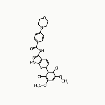 COc1cc(OC)c(Cl)c(-c2ccc3c(NC(=O)c4ccc(N5CCOCC5)cc4)n[nH]c3n2)c1Cl